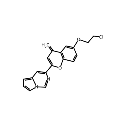 C=C1C=C(c2cc3cccn3cn2)Oc2ccc(OCCCl)cc21